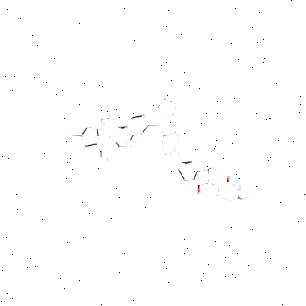 Cc1nc(N[C@H](C)c2cc(N)cc(C(F)(F)F)c2)c2cc(O[C@H]3CCOC3)c(OC3CCN(c4ccc5c(c4)C(=O)N(C4CCC(=O)NC4=O)C5=O)CC3)cc2n1